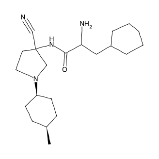 C[C@H]1CC[C@@H](N2CCC(C#N)(NC(=O)C(N)CC3CCCCC3)C2)CC1